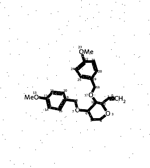 C=CC1OCCC(OCc2ccc(OC)cc2)C1OCc1ccc(OC)cc1